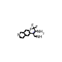 N=C/C(=C(\N)C(F)(F)F)c1ccc2cnccc2c1